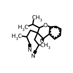 CC(C#N)CC1(CC(C)C#N)C(=O)c2ccccc2OC1C(C)C